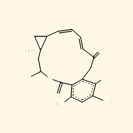 CC1C[C@H]2CC2/C=C\C=C\C(=O)Cc2c(Cl)c(O)cc(O)c2C(=O)O1